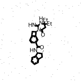 CCC1(CC)CC(=O)N([C@@H]2Cc3ccc(C(=O)N[C@@H]4c5ccccc5C[C@H]4C)cc32)C(=N)N1